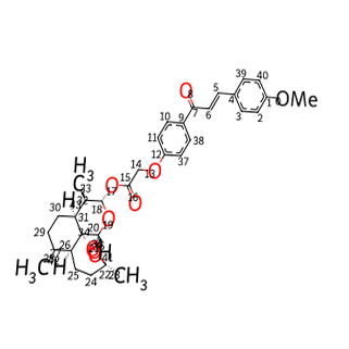 COc1ccc(/C=C/C(=O)c2ccc(OCC(=O)O[C@@H]3O[C@@H]4O[C@]5(C)CC[C@H]6[C@H](C)CC[C@@H]([C@H]3C)[C@@]46OO5)cc2)cc1